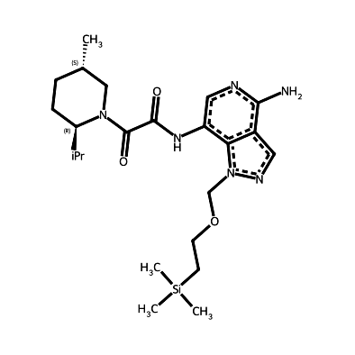 CC(C)[C@H]1CC[C@H](C)CN1C(=O)C(=O)Nc1cnc(N)c2cnn(COCC[Si](C)(C)C)c12